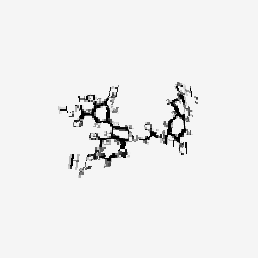 Cn1cc2cc(NC(=O)Cn3cc(-c4cc(Cl)c(O)c(C(N)=O)c4)c4c(=O)n(C)cnc43)c(Cl)cc2n1